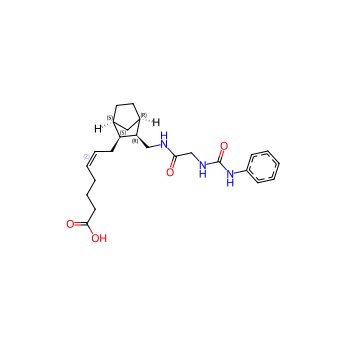 O=C(O)CCC/C=C\C[C@H]1[C@H]2CC[C@H](C2)[C@H]1CNC(=O)CNC(=O)Nc1ccccc1